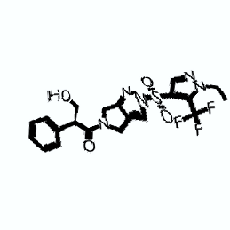 CCn1ncc(S(=O)(=O)n2cc3c(n2)CN(C(=O)[C@H](CO)c2ccccc2)C3)c1C(F)(F)F